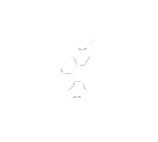 O=[C]C(c1ccccc1)c1ccc(O)cc1